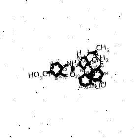 C=C(C)C[C@@H]1N[C@@H](C(=O)Nc2ccc(C(=O)O)cc2F)[C@H](c2cccc(Cl)c2F)[C@@]1(C#N)c1ccc(Cl)cc1F